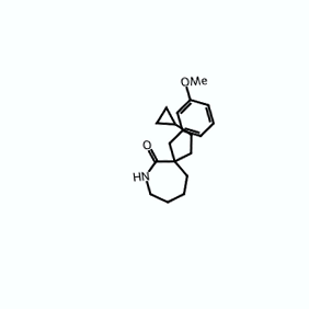 COc1cccc(CC2(CCC3CC3)CCCCNC2=O)c1